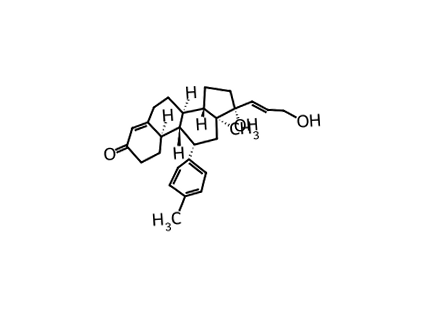 Cc1ccc([C@H]2C[C@@]3(C)[C@@H](CC[C@@]3(O)C=CCO)[C@@H]3CCC4=CC(=O)CC[C@@H]4[C@H]32)cc1